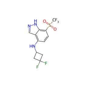 O=S(=O)(c1ccc(NC2CC(F)(F)C2)c2cn[nH]c12)C(F)(F)F